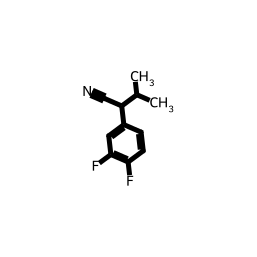 CC(C)C(C#N)c1ccc(F)c(F)c1